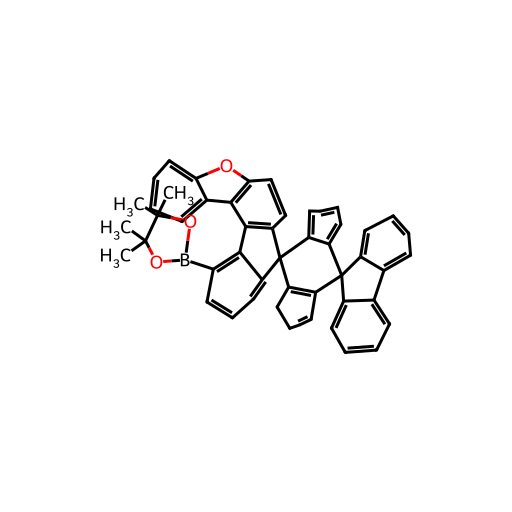 CC1(C)OB(c2cccc3c2-c2c(ccc4oc5ccccc5c24)C32C3=C(C=CCC3)C3(c4ccccc4-c4ccccc43)c3ccccc32)OC1(C)C